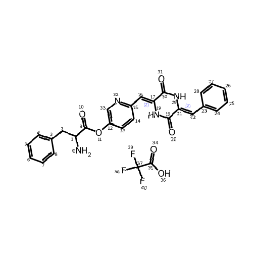 NC(Cc1ccccc1)C(=O)Oc1ccc(/C=c2\[nH]c(=O)/c(=C/c3ccccc3)[nH]c2=O)nc1.O=C(O)C(F)(F)F